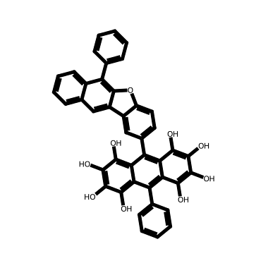 Oc1c(O)c(O)c2c(-c3ccc4oc5c(-c6ccccc6)c6ccccc6cc5c4c3)c3c(O)c(O)c(O)c(O)c3c(-c3ccccc3)c2c1O